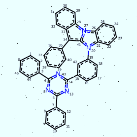 c1ccc(-c2nc(-c3ccccc3)nc(-c3cccc(-n4c5ccccc5n5c6ccccc6c(-c6ccccc6)c45)c3)n2)cc1